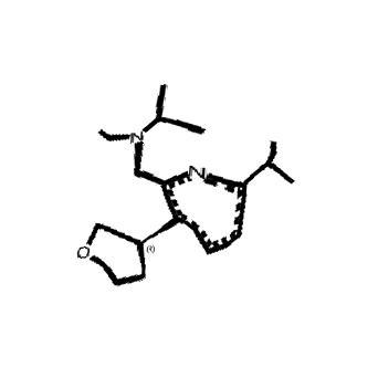 CC(C)c1ccc([C@H]2CCOC2)c(CN(C)C(C)C)n1